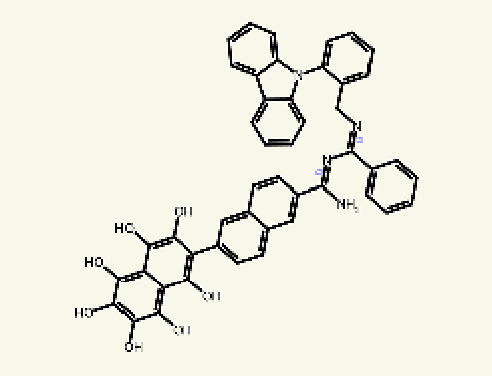 N/C(=N\C(=N/Cc1ccccc1-n1c2ccccc2c2ccccc21)c1ccccc1)c1ccc2cc(-c3c(O)c(O)c4c(O)c(O)c(O)c(O)c4c3O)ccc2c1